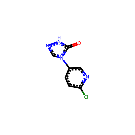 O=c1[nH]ncn1-c1ccc(Cl)nc1